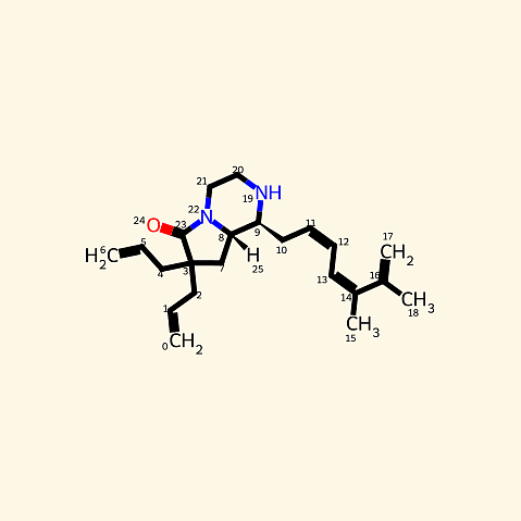 C=CCC1(CC=C)C[C@H]2[C@H](C/C=C\C=C(\C)C(=C)C)NCCN2C1=O